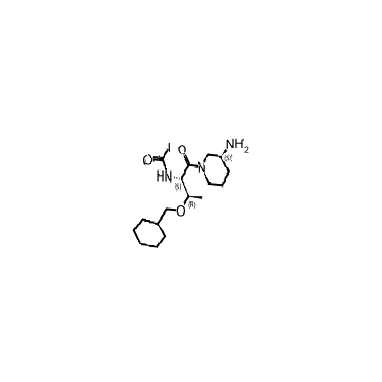 C[C@@H](OCC1CCCCC1)[C@H](NC(=O)I)C(=O)N1CCC[C@H](N)C1